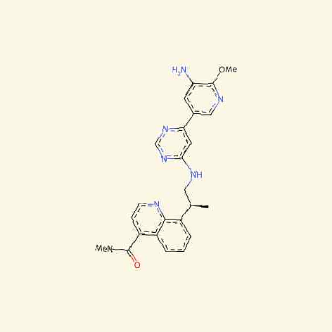 CNC(=O)c1ccnc2c([C@H](C)CNc3cc(-c4cnc(OC)c(N)c4)ncn3)cccc12